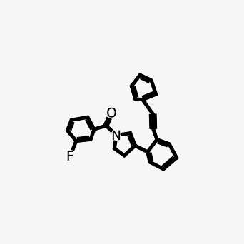 O=C(c1cccc(F)c1)N1C=C(c2ccccc2C#Cc2ccccc2)CC1